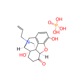 C=CCN1CC[C@]23c4c5ccc(O)c4O[C@H]2C(=O)CC[C@@]3(O)[C@H]1C5.O=P(O)(O)O